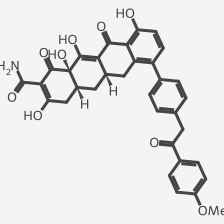 COc1ccc(C(=O)Cc2ccc(-c3ccc(O)c4c3C[C@@H]3C[C@@H]5CC(O)=C(C(N)=O)C(=O)[C@]5(O)C(O)=C3C4=O)cc2)cc1